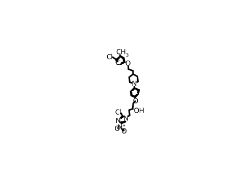 Cc1cc(OCCC2CCN(c3ccc(OC[C@H](O)CCn4cc([N+](=O)[O-])nc4Cl)cc3)CC2)ccc1Cl